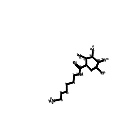 [2H]C1CC(C(=O)NCCCCCCN)C([2H])C([2H])C1[2H]